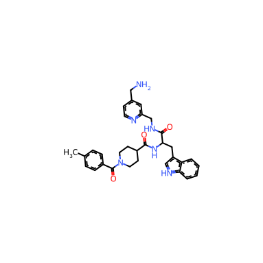 Cc1ccc(C(=O)N2CCC(C(=O)NC(Cc3c[nH]c4ccccc34)C(=O)NCc3cc(CN)ccn3)CC2)cc1